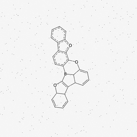 C1=CC2OC3=C(C2C=C1)C1C=CC=C2Oc4c(ccc5c4oc4ccccc45)B3C21